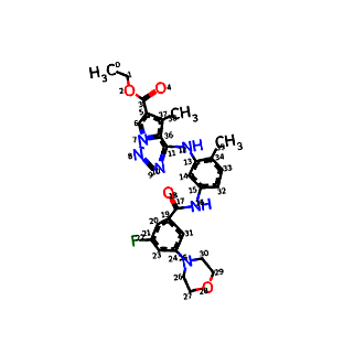 CCOC(=O)c1cn2ncnc(Nc3cc(NC(=O)c4cc(F)cc(N5CCOCC5)c4)ccc3C)c2c1C